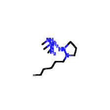 CCCCCCN1CCCN1.CN.CN.CN